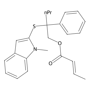 CC=CC(=O)OCC(CCC)(Sc1cc2ccccc2n1C)c1ccccc1